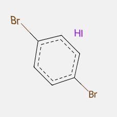 Brc1ccc(Br)cc1.I